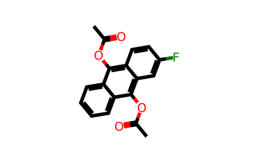 CC(=O)Oc1c2ccccc2c(OC(C)=O)c2cc(F)ccc12